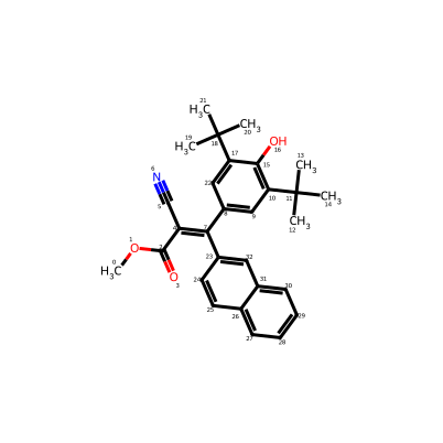 COC(=O)C(C#N)=C(c1cc(C(C)(C)C)c(O)c(C(C)(C)C)c1)c1ccc2ccccc2c1